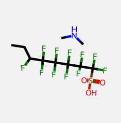 CCC(F)C(F)(F)C(F)(F)C(F)(F)C(F)(F)C(F)(F)S(=O)(=O)O.CNC